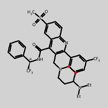 CCN(CC)C1CCN(Cc2c(-c3cccc(C(F)(F)F)c3)nc3ccc(S(C)(=O)=O)cc3c2C(=O)N[C@H](c2ccccc2)C(F)(F)F)CC1